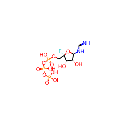 N=CN[C@@H]1O[C@](F)(COP(=O)(O)OP(=O)(O)OP(=O)(O)O)[C@@H](O)[C@H]1O